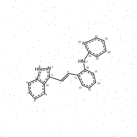 C(=Cc1n[nH]c2ccccc12)c1ccccc1Nc1ccccn1